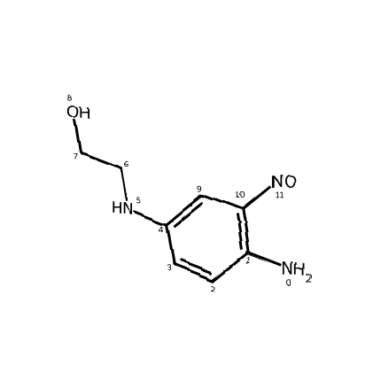 Nc1ccc(NCCO)cc1N=O